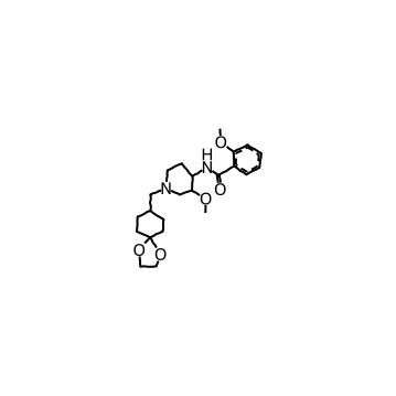 COc1ccccc1C(=O)NC1CCN(CC2CCC3(CC2)OCCO3)CC1OC